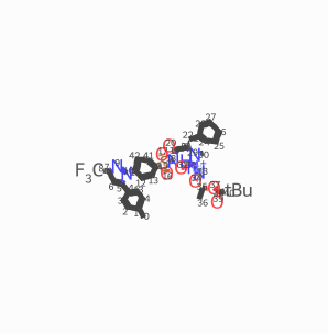 Cc1ccc(-c2cc(C(F)(F)F)nn2-c2ccc(S(=O)(=O)NC(=O)[C@H](Cc3ccccc3)N(C)/[N+]([O-])=N/OC(C)OC(=O)C(C)(C)C)cc2)cc1